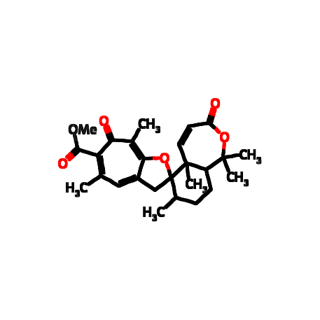 COC(=O)c1c(C)cc2c(c(C)c1=O)OC1(C2)C(C)CCC2C(C)(C)OC(=O)C=CC21C